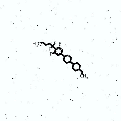 CCCCC(F)(F)c1c(F)cc(C2CCC(C3CCC(CC)CC3)CC2)cc1F